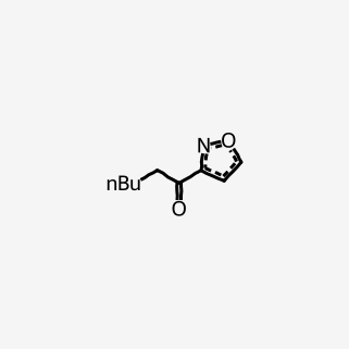 CCCCCC(=O)c1ccon1